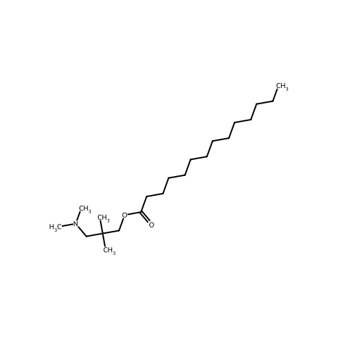 CCCCCCCCCCCCCC(=O)OCC(C)(C)CN(C)C